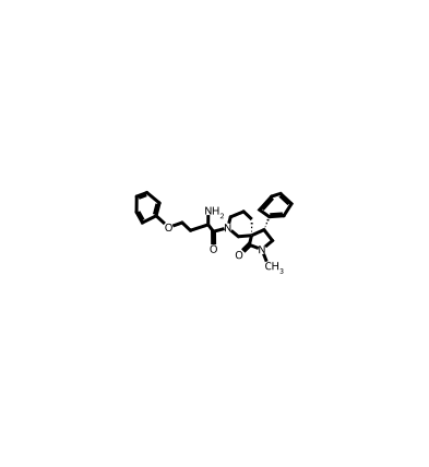 CN1C[C@@H](c2ccccc2)[C@@]2(CCCN(C(=O)C(N)CCOc3ccccc3)C2)C1=O